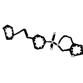 O=S(=O)(c1ccc(C=Cc2ccccc2)cc1)N1CCc2ccoc2C1